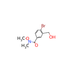 CON(C)C(=O)c1ccc(Br)c(CO)c1